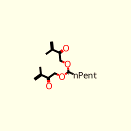 [CH2]CCCC[C](OCC(=O)C(=C)C)OCC(=O)C(=C)C